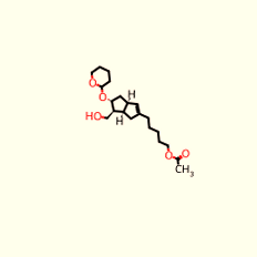 CC(=O)OCCCCCC1=C[C@@H]2C[C@@H](OC3CCCCO3)[C@H](CO)[C@@H]2C1